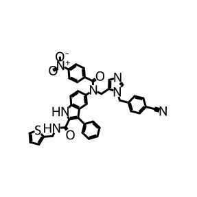 N#Cc1ccc(Cn2cncc2CN(C(=O)c2ccc([N+](=O)[O-])cc2)c2ccc3[nH]c(C(=O)NCc4cccs4)c(-c4ccccc4)c3c2)cc1